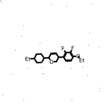 CCOc1ccc(C2C=CC(C3CCC(CC)CC3)OC2)c(F)c1F